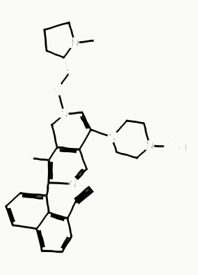 C#Cc1cccc2cccc(-c3ncc4c(c3F)CN(OC[C@@H]3CCCN3C)C=C4N3CCN(C(=O)O)CC3)c12